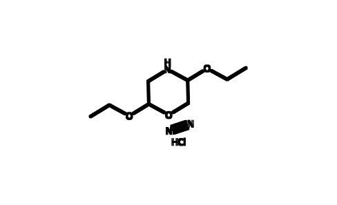 CCOC1COC(OCC)CN1.Cl.N#N